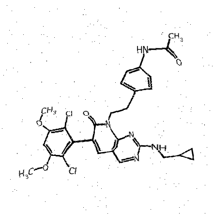 COc1cc(OC)c(Cl)c(-c2cc3cnc(NCC4CC4)nc3n(CCc3ccc(NC(C)=O)cc3)c2=O)c1Cl